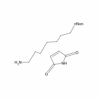 CCCCCCCCCCCCCCCCN.O=C1C=CC(=O)N1